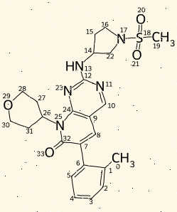 Cc1ccccc1-c1cc2cnc(NC3CCN(S(C)(=O)=O)C3)nc2n(C2CCOCC2)c1=O